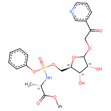 CC(C)OC(=O)[C@H](C)NP(=O)(OC[C@H]1OC(OCC(=O)c2cccnc2)[C@H](O)[C@@H]1O)Oc1ccccc1